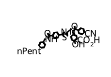 CCCCCc1ccc(CNC(=O)c2ccc(-c3nc(CN(C(=O)c4ccc(C#N)cc4)c4ccc(O)c(C(=O)O)c4)cs3)cc2)cc1